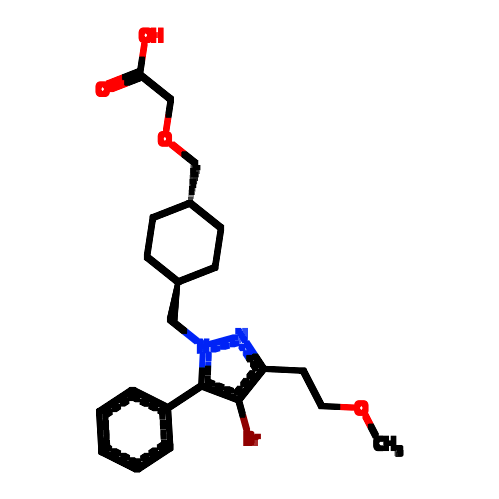 COCCc1nn(C[C@H]2CC[C@H](COCC(=O)O)CC2)c(-c2ccccc2)c1Br